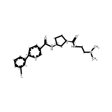 CN(C)CCNC(=O)[C@@H]1CC[C@H](NC(=O)c2ccc(-c3cccc(F)c3)nc2)C1